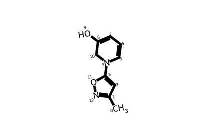 Cc1cc(N2C=CC=C(O)C2)on1